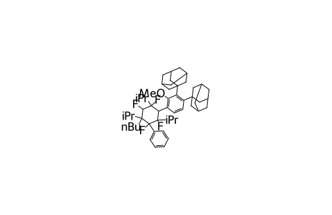 CCCCC1(C(C)C)C(F)C(F)(C(C)C)C(c2ccc(C34CC5CC(CC(C5)C3)C4)c(C34CC5CC(CC(C5)C3)C4)c2OC)C(F)(C(C)C)C1(F)c1ccccc1